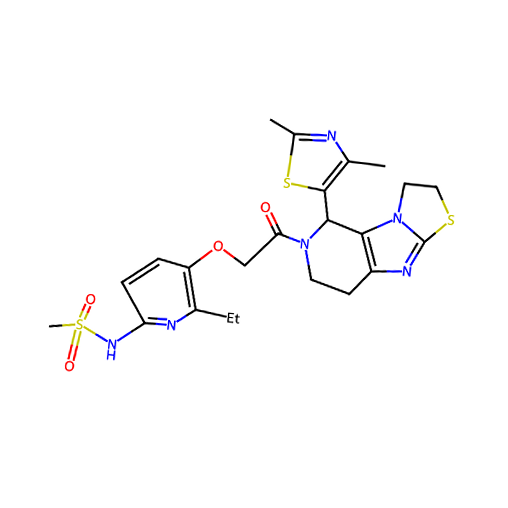 CCc1nc(NS(C)(=O)=O)ccc1OCC(=O)N1CCc2nc3n(c2C1c1sc(C)nc1C)CCS3